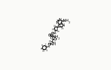 CC(C)(NOCc1ccccc1)C(=O)OP(N)(=O)OC[C@H]1C=C[C@@H](n2cnc3c(N)ncnc32)C1